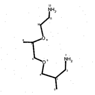 CC(CN)COCC(C)OCCN